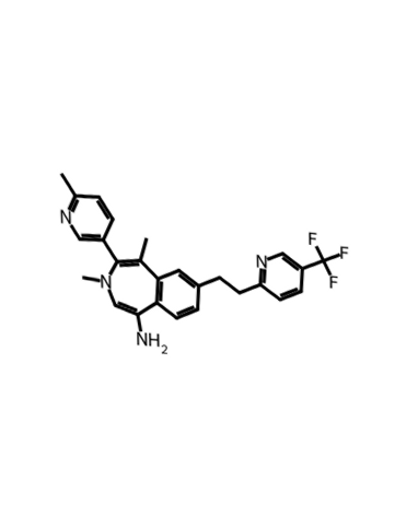 CC1=C(c2ccc(C)nc2)N(C)C=C(N)c2ccc(CCc3ccc(C(F)(F)F)cn3)cc21